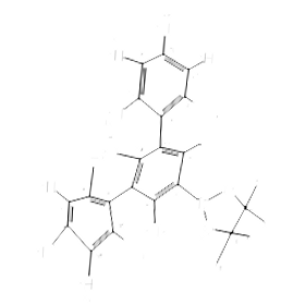 [2H]c1c([2H])c([2H])c(-c2c([2H])c(B3OC(C)(C)C(C)(C)O3)c([2H])c(-c3c([2H])c([2H])c([2H])c([2H])c3[2H])c2[2H])c([2H])c1[2H]